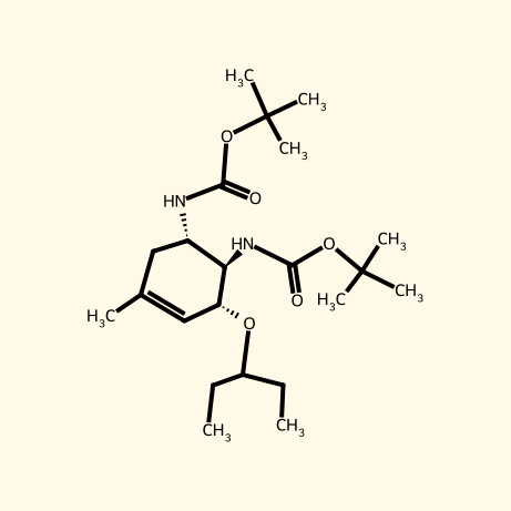 CCC(CC)O[C@@H]1C=C(C)C[C@H](NC(=O)OC(C)(C)C)[C@H]1NC(=O)OC(C)(C)C